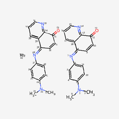 CN(C)c1ccc(N=C2C=CC(=O)c3ncccc32)cc1.CN(C)c1ccc(N=C2C=CC(=O)c3ncccc32)cc1.[Rh]